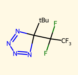 CC(C)(C)C1(C(F)(F)C(F)(F)F)N=NN=N1